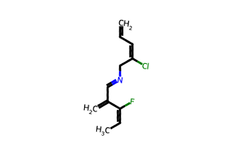 C=C/C=C(/Cl)C/N=C/C(=C)/C(F)=C\C